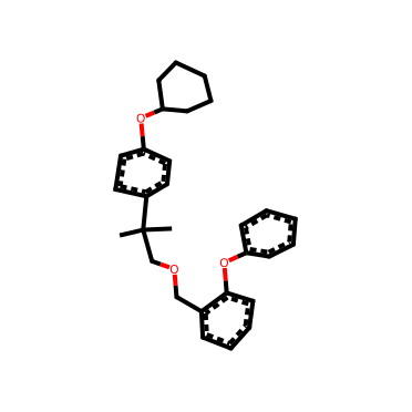 CC(C)(COCc1ccccc1Oc1ccccc1)c1ccc(OC2CCCCC2)cc1